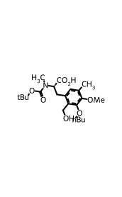 CCCCOc1c(CO)c(C[C@H](C(=O)O)N(C)C(=O)OC(C)(C)C)cc(C)c1OC